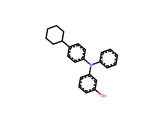 Oc1cccc(N(c2ccccc2)c2ccc(C3CCCCC3)cc2)c1